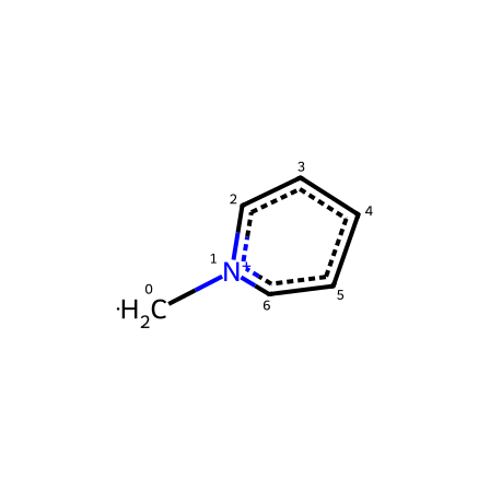 [CH2][n+]1ccccc1